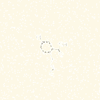 O=CCCc1ccc(Cl)cc1C(=O)O